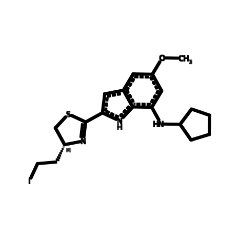 COc1cc(NC2CCCC2)c2[nH]c(C3=N[C@H](CCI)CS3)cc2c1